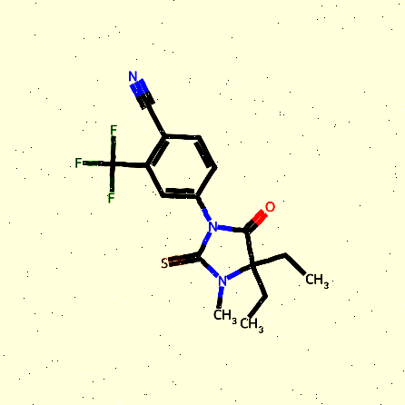 CCC1(CC)C(=O)N(c2ccc(C#N)c(C(F)(F)F)c2)C(=S)N1C